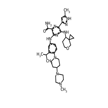 Cc1cc(-c2nc(C(N)=O)c(Nc3ccc(N4CCC(N5CCN(C)CC5)CC4)c(C(C)C)c3)nc2NC2CCOCC23CC3)n[nH]1